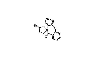 O=C1c2ccccc2Cc2ccccc2C12CCC(O)C2